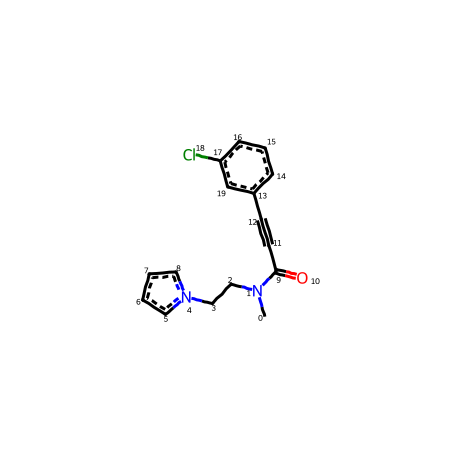 CN(CCn1cccc1)C(=O)C#Cc1cccc(Cl)c1